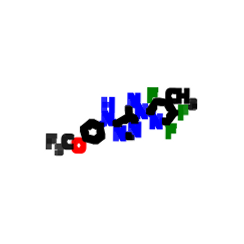 Cc1c(F)c(F)nc(-n2ncc3c(Nc4ccc(OC(F)(F)F)cc4)ncnc32)c1F